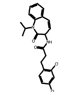 CC(C)N1C(=O)C(NC(=O)CCc2ccc(Cl)cc2Cl)C=Cc2ccccc21